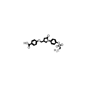 CCS(=O)(=O)Oc1ccc(N2CC(COc3ccc(C(=O)O)cc3)CC2=O)cc1